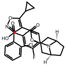 O=C(O)c1ccc(N2[C@@H]3CC[C@H]2C[C@@H](OC(=O)c2c(-c4ccccc4Cl)noc2C2CC2)C3)c(F)c1